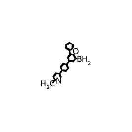 Bc1cc(-c2ccc(-c3ccc(C)nc3)cc2)cc2c1oc1ccccc12